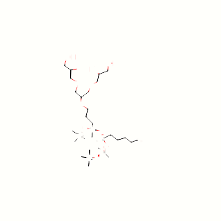 CCCCCCCCCCCCCC[Si](C)(O[Si](C)(C)O[Si](C)(C)C)O[Si](C)(CCCOC(COCC(O)CO)COCC(O)CO)O[Si](C)(C)C